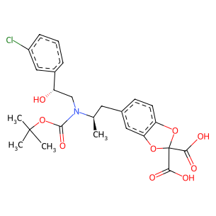 C[C@H](Cc1ccc2c(c1)OC(C(=O)O)(C(=O)O)O2)N(C[C@H](O)c1cccc(Cl)c1)C(=O)OC(C)(C)C